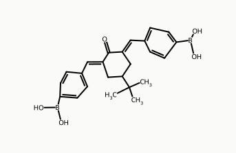 CC(C)(C)C1C/C(=C\c2ccc(B(O)O)cc2)C(=O)/C(=C/c2ccc(B(O)O)cc2)C1